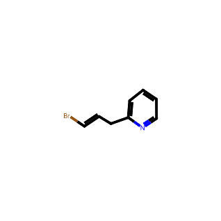 BrC=CCc1ccccn1